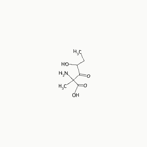 CCC(O)C(=O)C(C)(N)C(=O)O